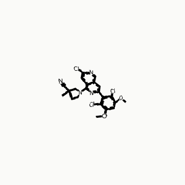 COc1cc(OC)c(Cl)c(-c2cc3cnc(Cl)cc3c(N3CCC(C)(C#N)C3)n2)c1Cl